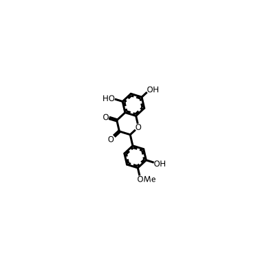 COc1ccc(C2Oc3cc(O)cc(O)c3C(=O)C2=O)cc1O